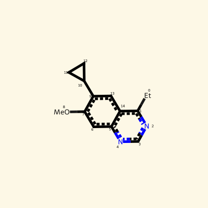 CCc1ncnc2cc(OC)c(C3CC3)cc12